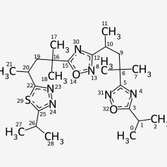 CC(C)c1nc(C(C)(C)CC(C)c2noc(C(C)(C)CC(C)c3nnc(C(C)C)s3)n2)no1